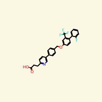 O=C(O)CCc1ccc(-c2ccc(COc3ccc(-c4ccccc4F)c(C(F)(F)F)c3)cc2)cn1